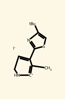 CC1=[C+]NCC=C1c1nc(C(C)(C)C)cs1.[I-]